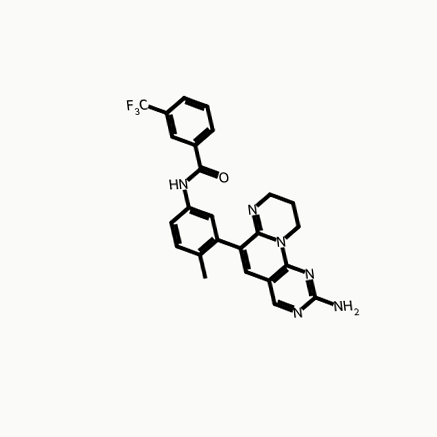 Cc1ccc(NC(=O)c2cccc(C(F)(F)F)c2)cc1C1=Cc2cnc(N)nc2N2CCCN=C12